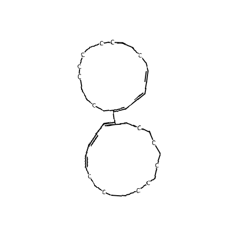 C1=CC=C(C2=CC=CC=CCCCCCCCCCCCCCC2)CCCCCCCCCCCCCCC=C1